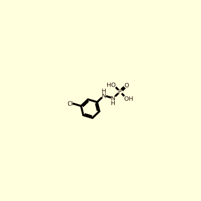 O=P(O)(O)NNc1cccc(Cl)c1